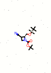 CC(C)(C)OC(=O)N1CC(C#N)[C@H]1CO[Si](C)(C)C(C)(C)C